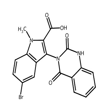 Cn1c(C(=O)O)c(-n2c(=O)[nH]c3ccccc3c2=O)c2cc(Br)ccc21